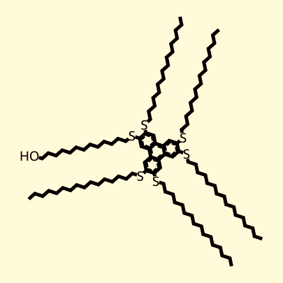 CCCCCCCCCCCCCCCCSc1cc2c(cc1SCCCCCCCCCCCCCO)c1cc(SCCCCCCCCCCCCCCCC)c(SCCCCCCCCCCCCCCCC)cc1c1cc(SCCCCCCCCCCCCCCCC)c(SCCCCCCCCCCCCCCCC)cc21